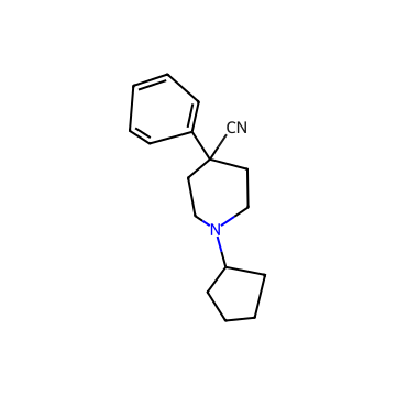 N#CC1(c2ccccc2)CCN(C2CCCC2)CC1